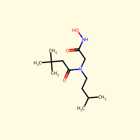 CC(C)CCN(CC(=O)NO)C(=O)[CH]C(C)(C)C